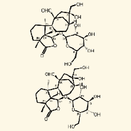 C[C@@]1([C@@H]2CC[C@@H]3C[C@@]2(C=O)C[C@]3(O)CO)CCC[C@@]2(C)C(=O)O[C@H](O[C@@H]3O[C@H](CO)[C@@H](O)[C@H](O)[C@H]3O)[C@@H]12.C[C@@]1([C@@H]2CC[C@@H]3C[C@@]2(C=O)C[C@]3(O)CO)CCC[C@@]2(C)C(=O)O[C@H](O[C@@H]3O[C@H](CO)[C@@H](O)[C@H](O)[C@H]3O)[C@@H]12